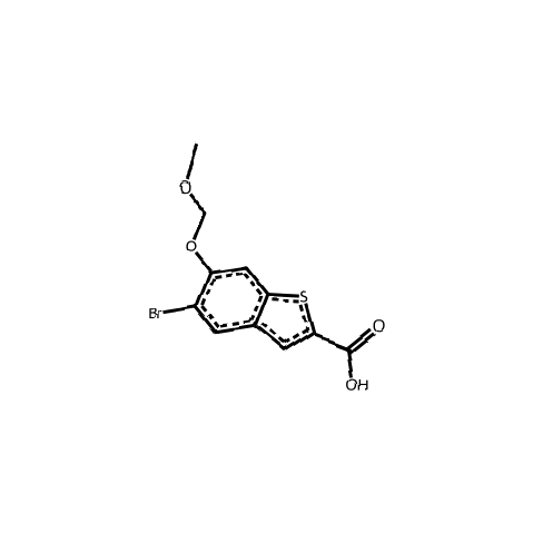 COCOc1cc2sc(C(=O)O)cc2cc1Br